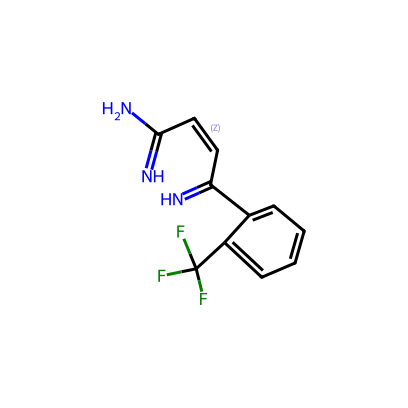 N=C(N)/C=C\C(=N)c1ccccc1C(F)(F)F